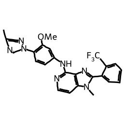 COc1cc(Nc2nccc3c2nc(-c2ccccc2C(F)(F)F)n3C)ccc1-n1cnc(C)n1